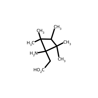 CC1C(C)(C)C(N)(CC(=O)O)C1(C)C